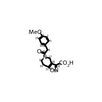 COc1ccc(CC(=O)N2CCc3onc(C(=O)O)c3C2)cc1